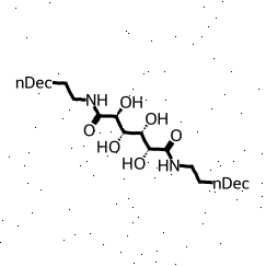 CCCCCCCCCCCCNC(=O)[C@@H](O)[C@@H](O)[C@H](O)[C@@H](O)C(=O)NCCCCCCCCCCCC